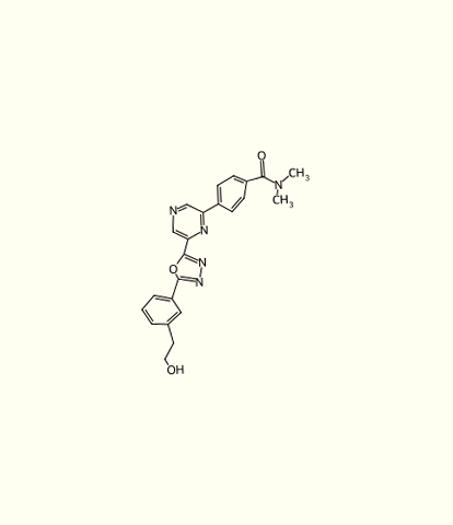 CN(C)C(=O)c1ccc(-c2cncc(-c3nnc(-c4cccc(CCO)c4)o3)n2)cc1